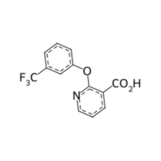 O=C(O)c1cccnc1Oc1cccc(C(F)(F)F)c1